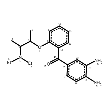 CCN(CC)C(C)C(C)Oc1ccccc1C(=O)c1ccc(N)c(N)c1